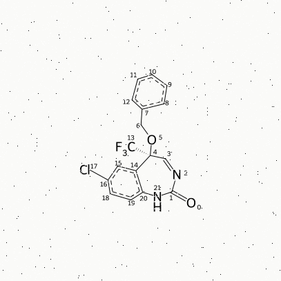 O=C1N=C[C@@](OCc2ccccc2)(C(F)(F)F)c2cc(Cl)ccc2N1